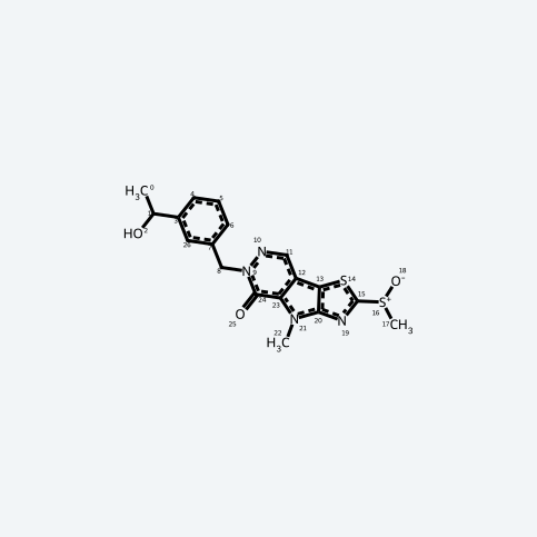 CC(O)c1cccc(Cn2ncc3c4sc([S+](C)[O-])nc4n(C)c3c2=O)c1